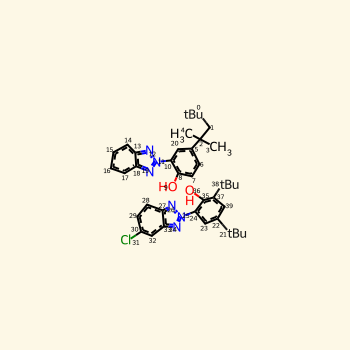 CC(C)(C)CC(C)(C)c1ccc(O)c(-n2nc3ccccc3n2)c1.CC(C)(C)c1cc(-n2nc3ccc(Cl)cc3n2)c(O)c(C(C)(C)C)c1